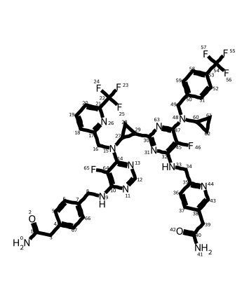 NC(=O)Cc1ccc(CNc2ncnc(N(Cc3cccc(C(F)(F)F)n3)C3CC3c3nc(NCc4ccc(CC(N)=O)cn4)c(F)c(N(Cc4ccc(C(F)(F)F)cc4)C4CC4)n3)c2F)cc1